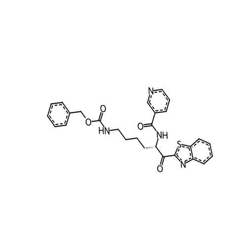 O=C(NCCCC[C@H](NC(=O)c1cccnc1)C(=O)c1nc2ccccc2s1)OCc1ccccc1